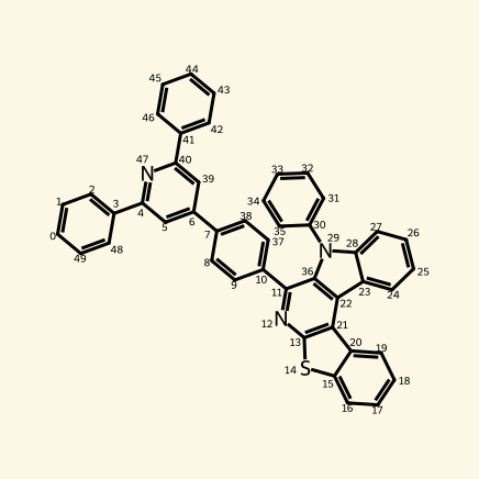 c1ccc(-c2cc(-c3ccc(-c4nc5sc6ccccc6c5c5c6ccccc6n(-c6ccccc6)c45)cc3)cc(-c3ccccc3)n2)cc1